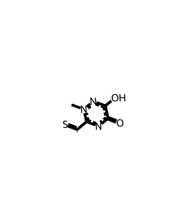 Cn1nc(O)c(=O)nc1[C]=S